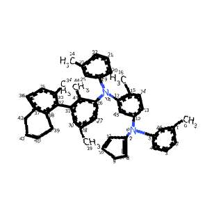 Cc1cccc(N(C2=CCC=C2)c2ccc(C)c(N(c3cccc(C)c3)c3cc(C)cc(-c4c(C)ccc5c4CCCC5)c3C)c2)c1